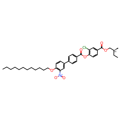 CCCCCCCCCCCCOc1ccc(-c2ccc(C(=O)Oc3ccc(C(=O)OC[C@@H](C)CC)cc3Cl)cc2)cc1[N+](=O)[O-]